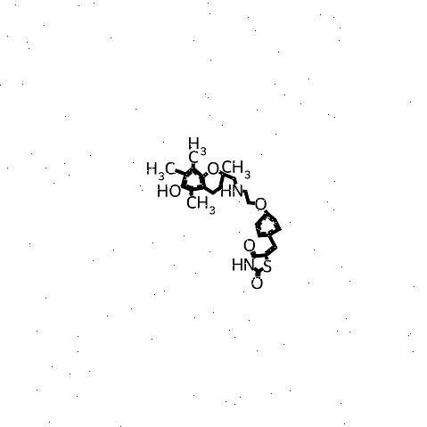 Cc1c(C)c2c(c(C)c1O)CCC(C)(CNCCOc1ccc(C=C3SC(=O)NC3=O)cc1)O2